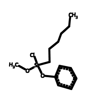 CCCCCC[Si](Cl)(OC)Oc1ccccc1